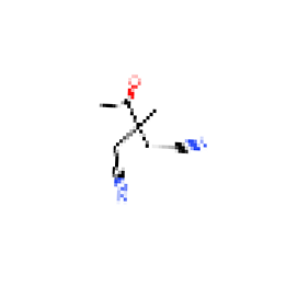 CC(=O)C(C)(CC#N)CC#N